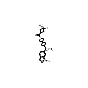 C[C@@H](c1ccc2cnn(C)c2c1)C1CC2(C1)CN(C(=O)C1CC(C)(O)C1)C2